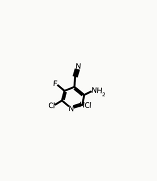 Cl.N#Cc1c(N)cnc(Cl)c1F